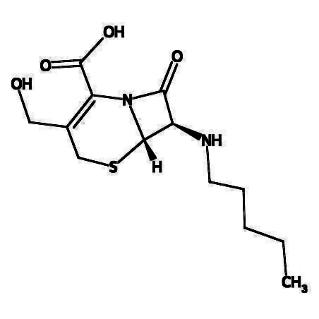 CCCCCN[C@@H]1C(=O)N2C(C(=O)O)=C(CO)CS[C@@H]12